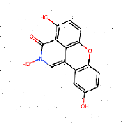 O=c1c2c(O)ccc3c2c(cn1O)-c1cc(O)ccc1O3